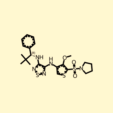 COc1c(Nc2nsnc2N[C@@H](c2ccccc2)C(C)(C)C)csc1S(=O)(=O)N1CCCC1